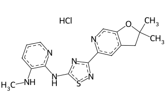 CNc1cccnc1Nc1nc(-c2cc3c(cn2)OC(C)(C)C3)ns1.Cl